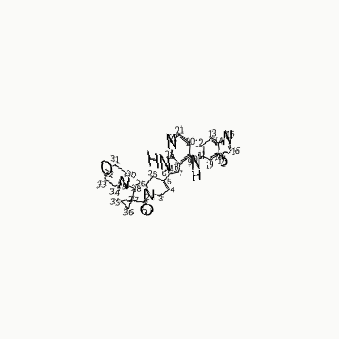 O=C(N1CC=C(c2cc3c(Nc4ccc5ncsc5c4)ccnc3[nH]2)CC1)C1(CN2CCOCC2)CC1